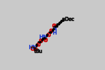 CCCCCCCCCCCCCCCCCC(=O)NCCOCCOCCNC(=O)CCOCCOCCNC(=O)OC(C)(C)C